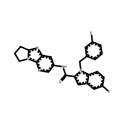 O=C(Nc1cnc2c(c1)nc1n2CCC1)c1cc2cc(F)ccc2n1Cc1cccc(F)c1